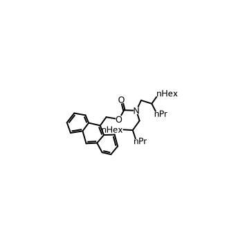 CCCCCCC(CCC)CN(CC(CCC)CCCCCC)C(=O)OCc1c2ccccc2cc2ccccc12